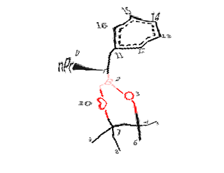 CCC[C@H](B1OC(C)(C)C(C)(C)O1)c1ccccc1